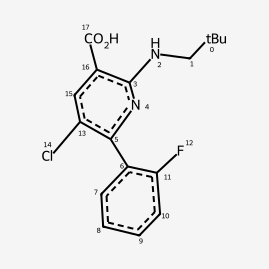 CC(C)(C)CNc1nc(-c2ccccc2F)c(Cl)cc1C(=O)O